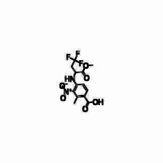 COC(=O)C(CC(F)(F)F)Nc1ccc(C(=O)O)c(C)c1[N+](=O)[O-]